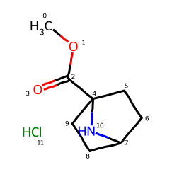 COC(=O)C12CCC(CC1)N2.Cl